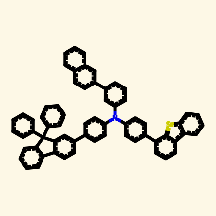 c1ccc(C2(c3ccccc3)c3ccccc3-c3ccc(-c4ccc(N(c5ccc(-c6cccc7c6sc6ccccc67)cc5)c5cccc(-c6ccc7ccccc7c6)c5)cc4)cc32)cc1